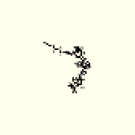 CCCCCCC#Cc1cncc(-c2nnc(SCc3ccc([N+](=O)[O-])o3)n2C)c1